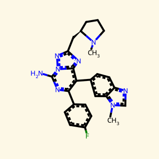 CN1CCC[C@@H]1Cc1nc2c(-c3ccc4ncn(C)c4c3)c(-c3ccc(F)cc3)nc(N)n2n1